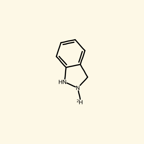 [2H]N1Cc2ccccc2N1